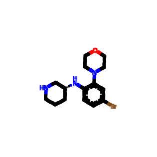 Brc1ccc(N[C@@H]2CCCNC2)c(N2CCOCC2)c1